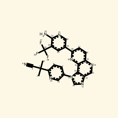 CC(C)(C#N)c1ccc(-n2cnc3cnc4ccc(-c5cnc(N)c(C(F)(F)F)c5)nc4c32)cn1